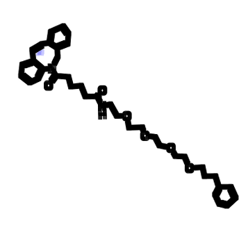 O=C(CCCCC(=O)N1Cc2ccccc2/C=C\c2ccccc21)NCCOCCOCCOCCOCCCc1ccccc1